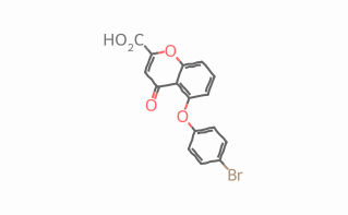 O=C(O)c1cc(=O)c2c(Oc3ccc(Br)cc3)cccc2o1